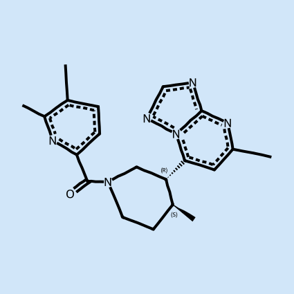 Cc1cc([C@H]2CN(C(=O)c3ccc(C)c(C)n3)CC[C@@H]2C)n2ncnc2n1